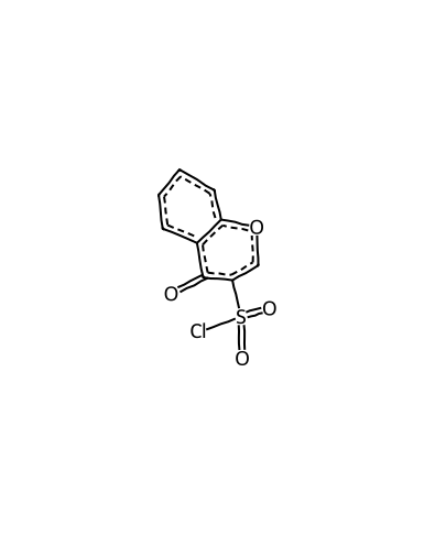 O=c1c(S(=O)(=O)Cl)coc2ccccc12